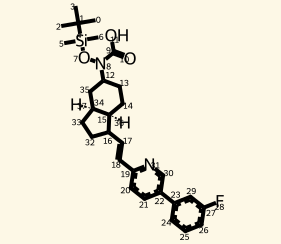 CC(C)(C)[Si](C)(C)ON(C(=O)O)C1CC[C@H]2C(C=Cc3ccc(-c4cccc(F)c4)cn3)CC[C@H]2C1